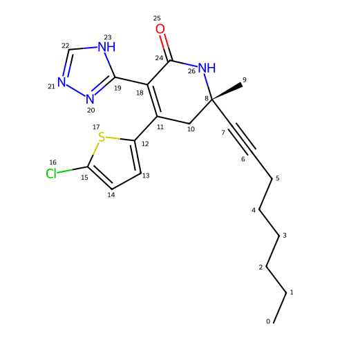 CCCCCCC#C[C@]1(C)CC(c2ccc(Cl)s2)=C(c2nnc[nH]2)C(=O)N1